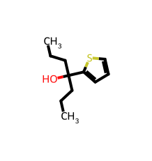 CCCC(O)(CCC)c1cccs1